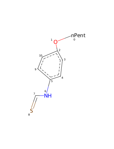 CCCCCOc1ccc(NC=S)cc1